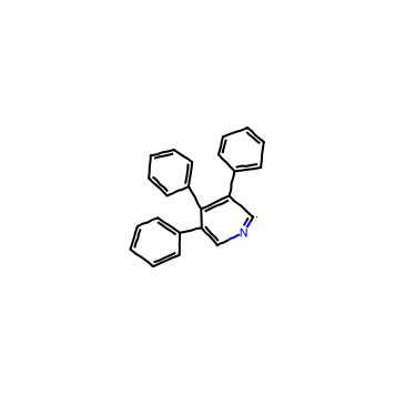 [c]1ncc(-c2ccccc2)c(-c2ccccc2)c1-c1ccccc1